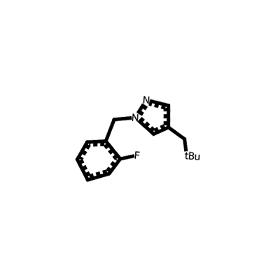 CC(C)(C)Cc1cnn(Cc2ccccc2F)c1